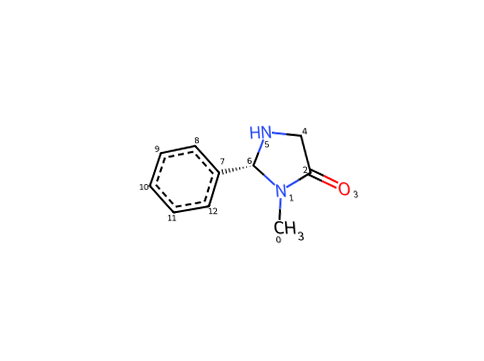 CN1C(=O)CN[C@H]1c1ccccc1